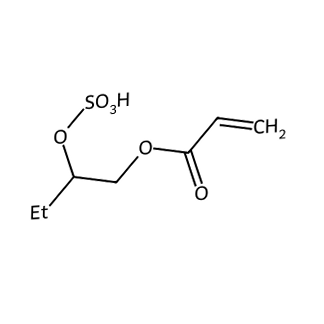 C=CC(=O)OCC(CC)OS(=O)(=O)O